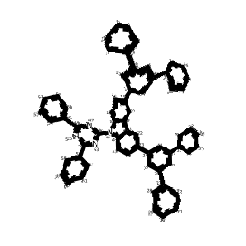 c1ccc(-c2cc(-c3ccccc3)cc(-c3ccc4c(c3)c3cc(-c5cc(-c6ccccc6)cc(-c6ccccc6)c5)ccc3n4-c3nc(-c4ccccc4)nc(-c4ccccc4)n3)c2)cc1